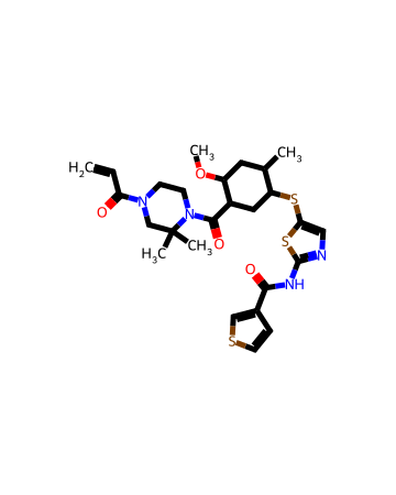 C=CC(=O)N1CCN(C(=O)C2CC(Sc3cnc(NC(=O)c4ccsc4)s3)C(C)CC2OC)C(C)(C)C1